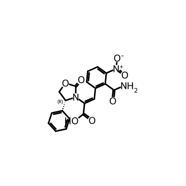 NC(=O)c1c(C=C(C(=O)O)N2C(=O)OC[C@H]2c2ccccc2)cccc1[N+](=O)[O-]